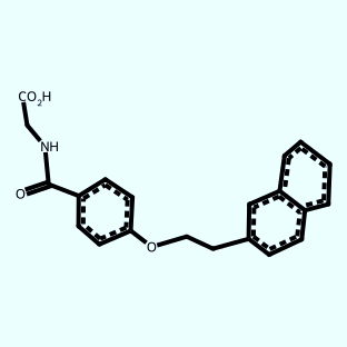 O=C(O)CNC(=O)c1ccc(OCCc2ccc3ccccc3c2)cc1